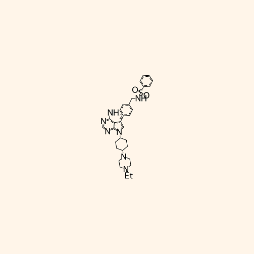 CCN1CCN([C@H]2CC[C@@H](n3cc(-c4ccc(CNS(=O)(=O)c5ccccc5)cc4)c4c(N)ncnc43)CC2)CC1